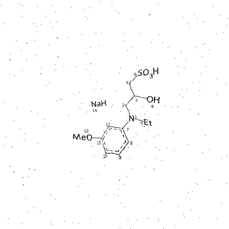 CCN(CC(O)CS(=O)(=O)O)c1cccc(OC)c1.[NaH]